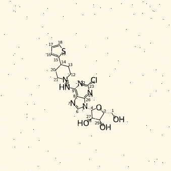 OC[C@H]1O[C@@H](n2cnc3c(NN4CCC(c5cccs5)CC4)nc(Cl)nc32)[C@H](O)[C@@H]1O